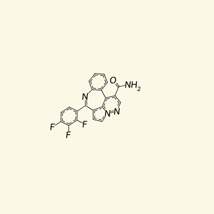 NC(=O)c1cnn2ccc3c2c1-c1ccccc1N=C3c1ccc(F)c(F)c1F